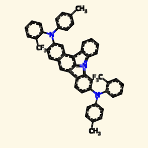 Cc1ccc(N(c2ccc3cc4c5ccc(N(c6ccc(C)cc6)c6ccccc6C(F)(F)F)cc5n5c6ccccc6c(c3c2)c45)c2ccccc2C(F)(F)F)cc1